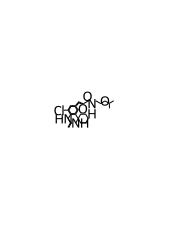 C=C1Nc2c(Cl)cc3cc(C(=O)NCCOC(C)C)oc3c2C2(CCCCC2)N1